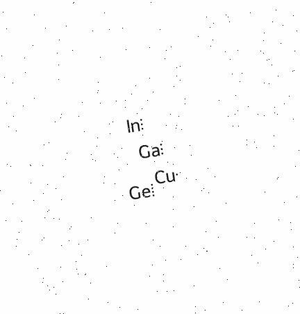 [Cu].[Ga].[Ge].[In]